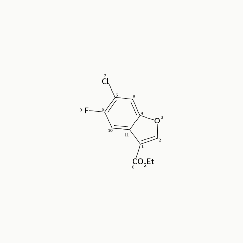 CCOC(=O)c1coc2cc(Cl)c(F)cc12